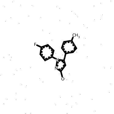 Cc1ccc(-c2cc([O])nn2-c2ccc(F)cc2)cc1